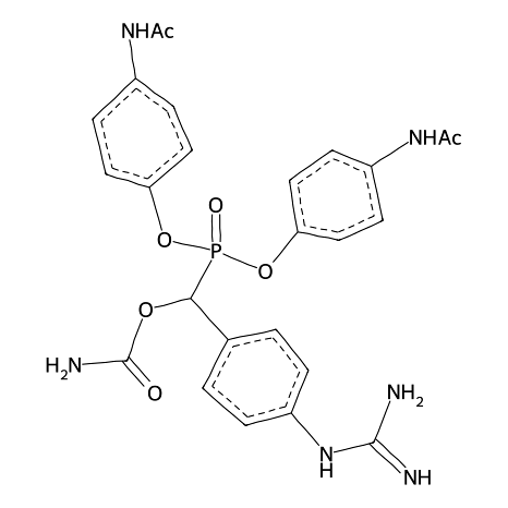 CC(=O)Nc1ccc(OP(=O)(Oc2ccc(NC(C)=O)cc2)C(OC(N)=O)c2ccc(NC(=N)N)cc2)cc1